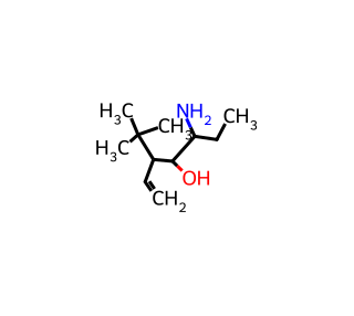 C=CC(C(O)C(N)CC)C(C)(C)C